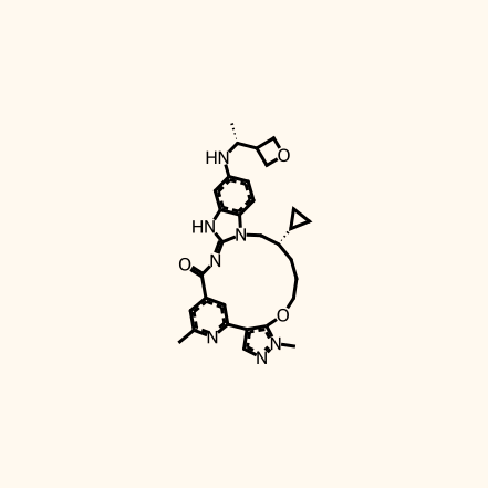 Cc1cc2cc(n1)-c1cnn(C)c1OCCC[C@@H](C1CC1)CN1/C(=N/C2=O)Nc2cc(N[C@H](C)C3COC3)ccc21